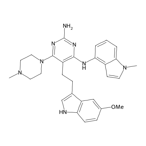 COc1ccc2[nH]cc(CCc3c(Nc4cccc5c4ccn5C)nc(N)nc3N3CCN(C)CC3)c2c1